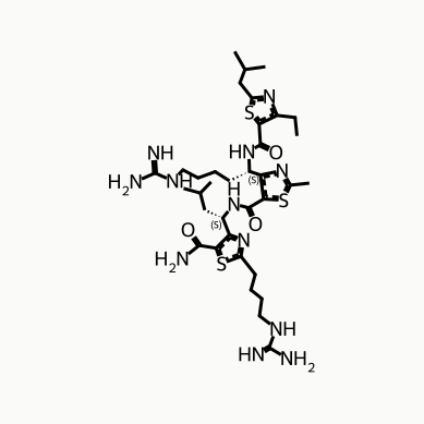 CCc1nc(CC(C)C)sc1C(=O)N[C@@H](CCCCNC(=N)N)c1nc(C)sc1C(=O)N[C@@H](CC(C)C)c1nc(CCCCNC(=N)N)sc1C(N)=O